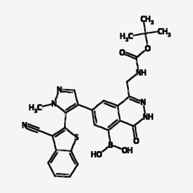 Cn1ncc(-c2cc(B(O)O)c3c(=O)[nH]nc(CNC(=O)OC(C)(C)C)c3c2)c1-c1sc2ccccc2c1C#N